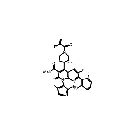 C=C(F)C(=O)N1CCC(c2c(C(=O)NC)c(=O)n(-c3c(C)ccnc3C(C)C)c3nc(-c4c(O)cccc4F)c(F)cc23)[C@@H](C)C1